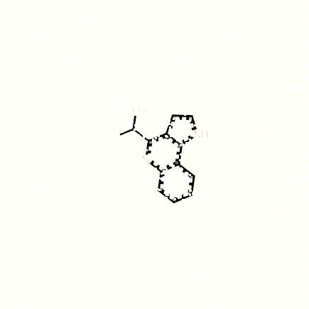 CC(O)c1nc2ccccc2c2[nH]ccc12